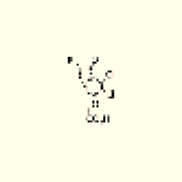 CCC1Cc2cc(OCC(=O)O)c(Cl)c(Cl)c2C1=O